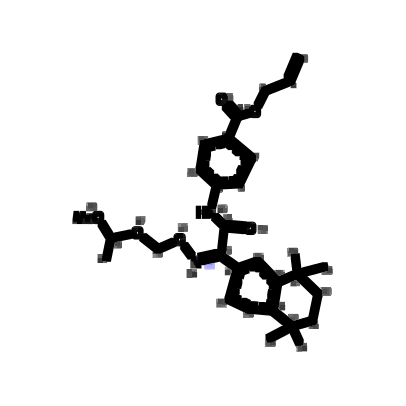 C=CCOC(=O)c1ccc(NC(=O)/C(=N\OCOC(C)OC)c2ccc3c(c2)C(C)(C)CCC3(C)C)cc1